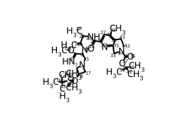 COC(=N)/C(CN1CC(O[Si](C)(C)C(C)(C)C)C1)=N\C(C)[C@@H](C)NC(=O)c1cc(C)c2c(n1)CN(C(=O)OC(C)(C)C)CC2